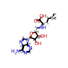 C[Se]CC[C@H](NC[C@H]1O[C@@H](n2cnc3c(N)ncnc32)[C@H](O)[C@@H]1O)C(=O)O